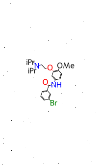 COc1ccc(NC(=O)c2cccc(Br)c2)cc1OCCN(C(C)C)C(C)C